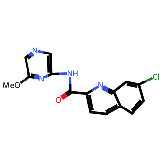 COc1cncc(NC(=O)c2ccc3ccc(Cl)cc3n2)n1